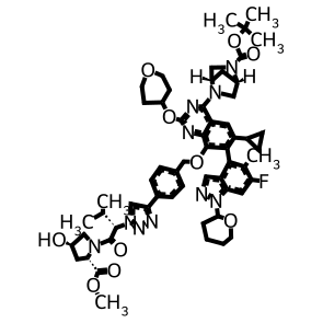 COC(=O)[C@@H]1C[C@@H](O)CN1C(=O)[C@H](C(C)C)n1cc(-c2ccc(COc3c(-c4c(C)c(F)cc5c4cnn5C4CCCCO4)c(C4CC4)cc4c(N5C[C@@H]6C[C@H]5CN6C(=O)OC(C)(C)C)nc(OC5CCOCC5)nc34)cc2)nn1